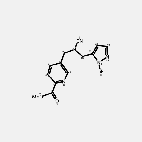 COC(=O)c1ccc(CN(C#N)Cc2ccnn2C(C)C)cn1